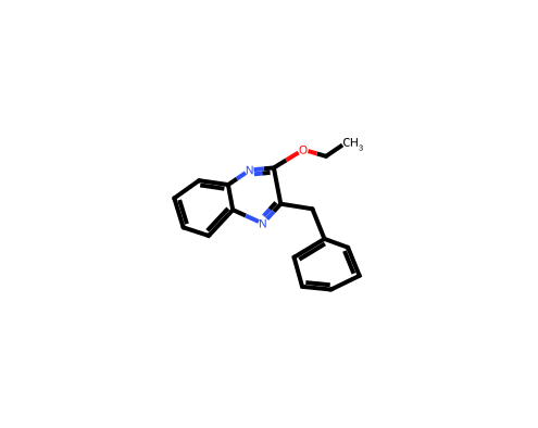 CCOc1nc2ccccc2nc1Cc1ccccc1